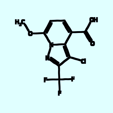 COc1ccc(C(=O)O)c2c(Cl)c(C(F)(F)F)nn12